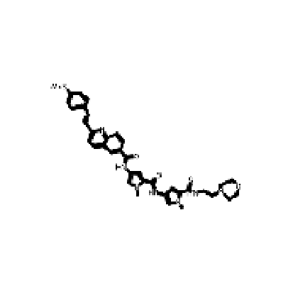 CSc1ccc(C=Cc2ccc3cc(C(=O)Nc4cc(C(=O)Nc5cc(C(=O)NCCN6CCOCC6)n(C)c5)n(C)c4)ccc3n2)cc1